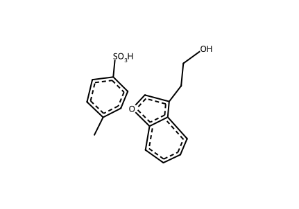 Cc1ccc(S(=O)(=O)O)cc1.OCCc1coc2ccccc12